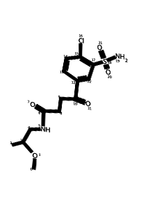 COC(C)CNC(=O)CCC(=O)c1ccc(Cl)c(S(N)(=O)=O)c1